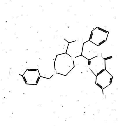 Cc1ccc(CN2CCC(C(C)C)N(C(Cc3ccccc3)c3nc4cc(Cl)ccc4c(=O)[nH]3)CC2)cc1